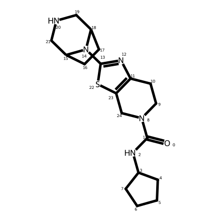 O=C(NC1CCCC1)N1CCc2nc(N3C4CCC3CNC4)sc2C1